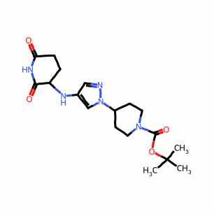 CC(C)(C)OC(=O)N1CCC(n2cc(NC3CCC(=O)NC3=O)cn2)CC1